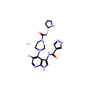 Cl.O=C(Nc1c[nH]c2ncc(Br)c(N3CCN(C(=O)C[C@@H]4CCCN4)CC3)c12)c1cn[nH]c1